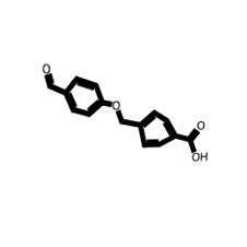 O=Cc1ccc(OCc2ccc(C(=O)O)cc2)cc1